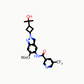 COc1cc2nn(C3CC(C(C)(C)O)C3)cc2cc1NC(=O)c1cncc(C(F)(F)F)c1